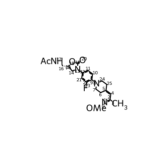 CON=C(C)C=C1CCN(c2ccc(N3C[C@H](CNC(C)=O)OC3=O)cc2F)CC1